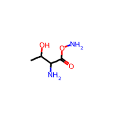 CC(O)C(N)C(=O)ON